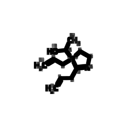 C=CCC1=NCC[N+]1(CC=C)C(C)O